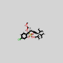 COCO[C@](c1ccc(Cl)cc1)([C@H](C)C#C[Si](C(C)C)(C(C)C)C(C)C)S(=O)(=O)O